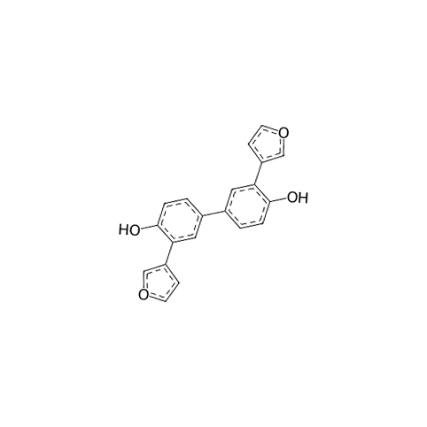 Oc1ccc(-c2ccc(O)c(-c3ccoc3)c2)cc1-c1ccoc1